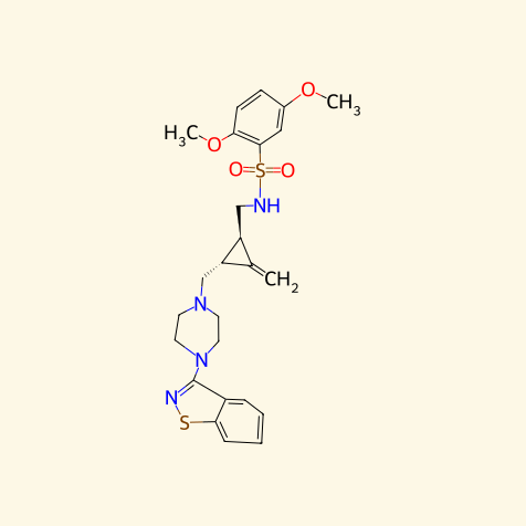 C=C1[C@H](CNS(=O)(=O)c2cc(OC)ccc2OC)[C@H]1CN1CCN(c2nsc3ccccc23)CC1